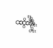 CCOOP(=O)(OOCC)c1cc2c(cc1C(=O)COC(=O)CC)C(=O)c1cc3c(cc1C2=O)CCCC3